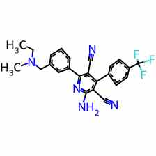 CCN(C)Cc1cccc(-c2nc(N)c(C#N)c(-c3ccc(C(F)(F)F)cc3)c2C#N)c1